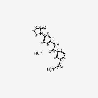 Cl.NC1CC1c1cccc(C(=O)Nc2ccc(N3CCCC3=O)cc2)c1